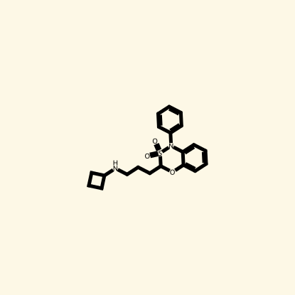 O=S1(=O)C(CCCNC2CCC2)Oc2ccccc2N1c1ccccc1